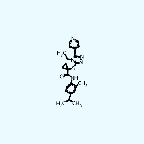 CCn1c(SC2(C(=O)Nc3ccc(C(C)C)cc3C)CC2)nnc1-c1ccncc1